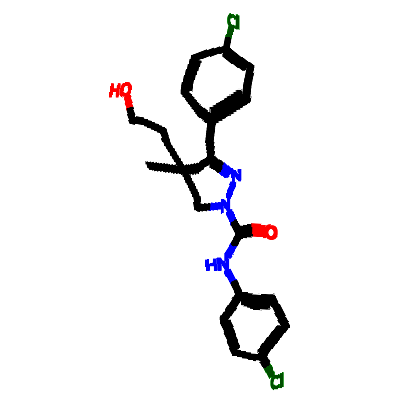 CC1(CCO)CN(C(=O)Nc2ccc(Cl)cc2)N=C1c1ccc(Cl)cc1